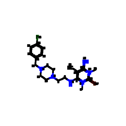 Cn1c(NCCN2CCN(Cc3ccc(F)cc3)CC2)c(C#N)c(=N)n(C)c1=S